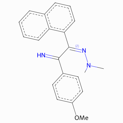 COc1ccc(C(=N)/C(=N\N(C)C)c2cccc3ccccc23)cc1